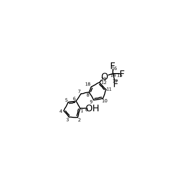 Oc1ccccc1Cc1cccc(OC(F)(F)F)c1